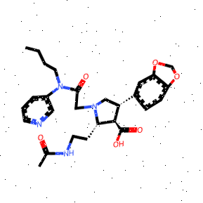 CCCCN(C(=O)CN1C[C@H](c2ccc3c(c2)OCO3)[C@@H](C(=O)O)[C@@H]1CCNC(C)=O)c1cccnc1